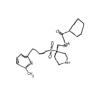 Cc1cccc(CCCS(=O)(=O)C2(CNC(=O)C3CCCCC3)CCNCC2)n1